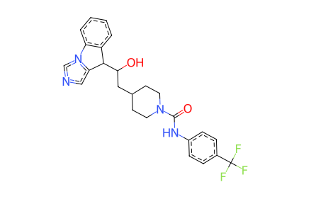 O=C(Nc1ccc(C(F)(F)F)cc1)N1CCC(CC(O)C2c3ccccc3-n3cncc32)CC1